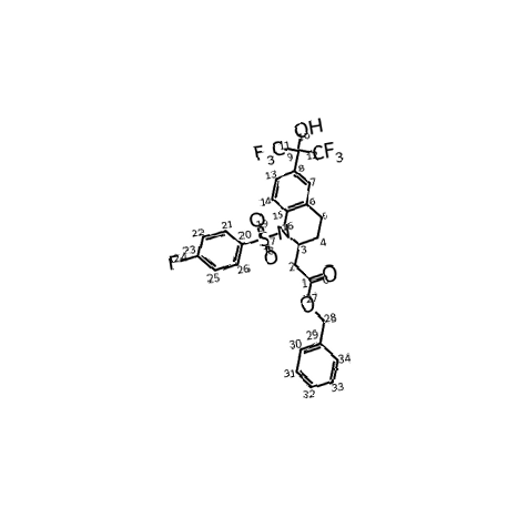 O=C(CC1CCc2cc(C(O)(C(F)(F)F)C(F)(F)F)ccc2N1S(=O)(=O)c1ccc(F)cc1)OCc1ccccc1